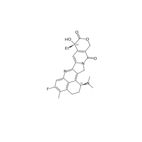 CC[C@@]1(O)C(=O)OCc2c1cc1n(c2=O)Cc2c-1nc1cc(F)c(C)c3c1c2[C@@H](N(C)C)CC3